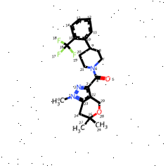 Cn1nc(C(=O)N2CCC(c3ccccc3C(F)(F)F)CC2)c2c1CC(C)(C)OC2